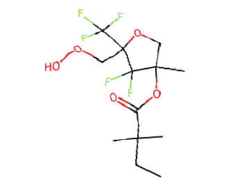 CCC(C)(C)C(=O)OC1(C)COC(COO)(C(F)(F)F)C1(F)F